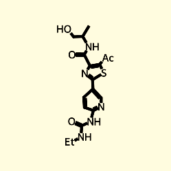 CCNC(=O)Nc1ccc(-c2nc(C(=O)NC(C)CO)c(C(C)=O)s2)cn1